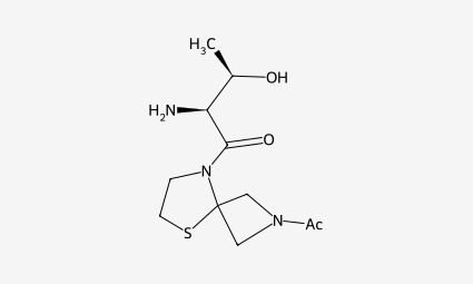 CC(=O)N1CC2(C1)SCCN2C(=O)[C@@H](N)[C@@H](C)O